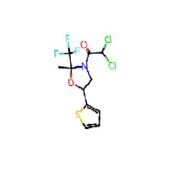 CC1(C(F)(F)F)OC(c2cccs2)CN1C(=O)C(Cl)Cl